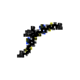 CCCCC(CC)Cc1cc2sc(-c3ccc(-c4cc5c(s4)-c4sc(-c6ncc(-c7cc8sc(CC(CC)CCCC)cc8s7)c7nsnc67)cc4[Si]5(CC(CC)CCCC)CC(CC)CCCC)c4nsnc34)cc2s1